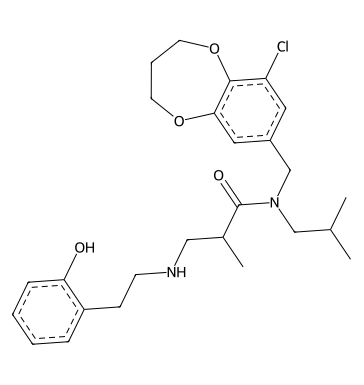 CC(C)CN(Cc1cc(Cl)c2c(c1)OCCCO2)C(=O)C(C)CNCCc1ccccc1O